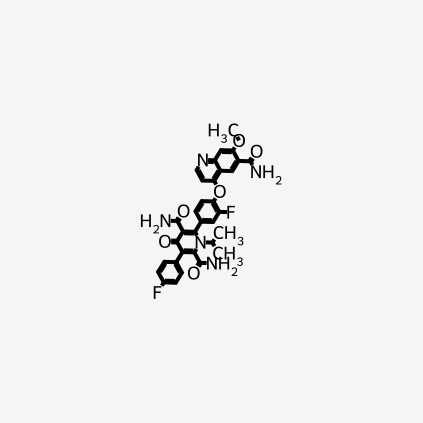 COc1cc2nccc(Oc3ccc(-c4c(C(N)=O)c(=O)c(-c5ccc(F)cc5)c(C(N)=O)n4C(C)C)cc3F)c2cc1C(N)=O